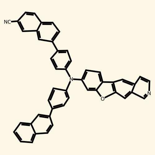 N#Cc1ccc2ccc(-c3ccc(N(c4ccc(-c5ccc6ccccc6c5)cc4)c4ccc5c(c4)oc4cc6cnccc6cc45)cc3)cc2c1